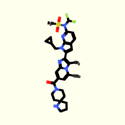 COc1cc(C(=O)N2CCC3(CCCN3)CC2)cc2nc(-c3cc4ccc(N(C(F)F)S(C)(=O)=O)nc4n3CC3CC3)c(C)n12